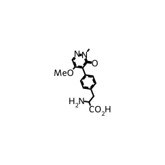 COc1cnn(C)c(=O)c1-c1ccc(CC(N)C(=O)O)cc1